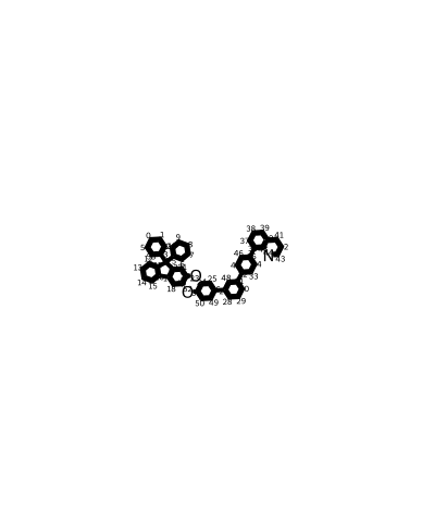 c1ccc(C2(c3ccccc3)c3ccccc3-c3cc4c(cc32)Oc2cc(-c3cccc(-c5ccc(-c6cccc7cccnc67)cc5)c3)ccc2O4)cc1